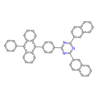 c1ccc(-c2c3ccccc3c(-c3ccc(-c4nc(-c5ccc6ccccc6c5)nc(-c5ccc6ccccc6c5)n4)cc3)c3ccccc23)cc1